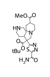 COC(=O)C1CCN(CC(C(=O)OC(C)(C)C)(c2nnc(C(N)=O)s2)C2CCNCC2)CC1